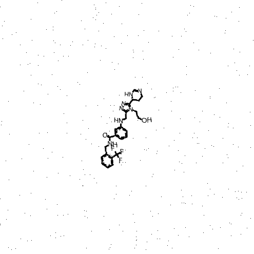 O=C(NCc1ccccc1C(F)(F)F)c1cccc(NCc2nnc(C3CCN=CN3)n2CCO)c1